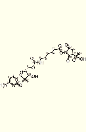 Nc1ccn([C@@H]2O[C@H](COC(=O)NCCCCCC(=O)ON3C(=O)CC(S(=O)(=O)O)C3=O)C(O)C2(F)F)c(=O)n1